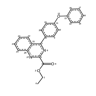 CCOC(=O)c1nc(-c2ccc(Oc3ccccc3)cc2)c2ccccc2n1